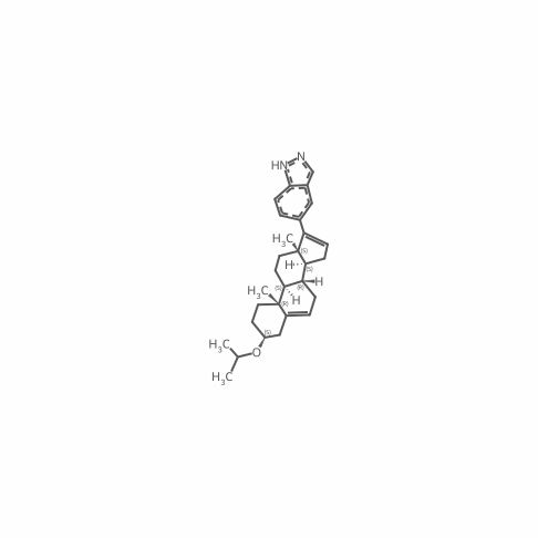 CC(C)O[C@H]1CC[C@@]2(C)C(=CC[C@@H]3[C@@H]2CC[C@]2(C)C(c4ccc5[nH]ncc5c4)=CC[C@@H]32)C1